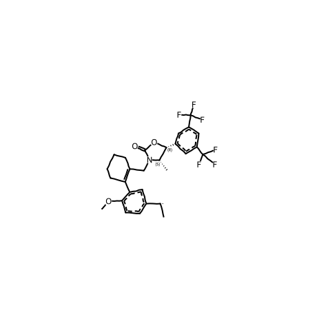 C[CH]c1ccc(OC)c(C2=C(CN3C(=O)O[C@H](c4cc(C(F)(F)F)cc(C(F)(F)F)c4)[C@@H]3C)CCCC2)c1